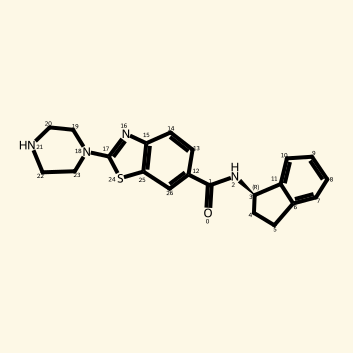 O=C(N[C@@H]1CCc2ccccc21)c1ccc2nc(N3CCNCC3)sc2c1